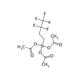 CC(=O)O[Si](CCC(F)(F)C(F)(F)F)(OC(C)=O)OC(C)=O